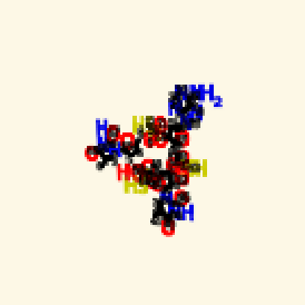 Cc1cn([C@H]2CC[C@@H](COP(=O)(S)O[C@H]3C[C@H](n4cnc5c(N)ncnc54)O[C@@H]3COP(=O)(S)O[C@H]3C[C@H](n4cc(C)c(=O)[nH]c4=O)O[C@@H]3COP(=O)(O)S)O2)c(=O)[nH]c1=O